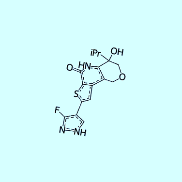 CC(C)C1(O)COCc2c1[nH]c(=O)c1sc(-c3c[nH]nc3F)cc21